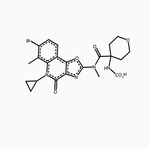 Cc1c(Br)ccc2c3oc(N(C)C(=O)C4(NC(=O)O)CCOCC4)nc3c(=O)n(C3CC3)c12